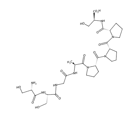 C[C@H](NC(=O)CNC(=O)[C@H](CO)NC(=O)[C@@H](N)CO)C(=O)N1CCC[C@H]1C(=O)N1CCC[C@H]1C(=O)N1CCC[C@H]1C(=O)N[C@@H](CO)C(=O)O